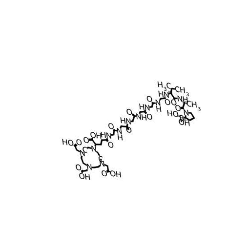 CC(C)[C@H](NC(=O)CNC(=O)CNC(=O)CNC(=O)CNC(=O)CNC(=O)CNC(=O)CCC(C(=O)O)N1CCN(CC(=O)O)CCN(CC(=O)O)CCN(CC(=O)O)CC1)C(=O)N[C@H](C)C(=O)N1CCC[C@H]1B(O)O